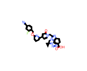 N#Cc1ccc(COc2cccc(-c3ccn(Cc4nc5ccc(C(=O)O)cc5n4CC4(n5ccnn5)CC4)c(=O)c3)n2)c(F)c1